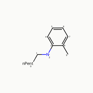 CCCCCC[N]c1ccccc1C